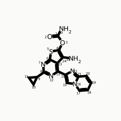 NC(=O)Oc1sc2nc(C3CC3)nc(-c3cn4ccccc4n3)c2c1N